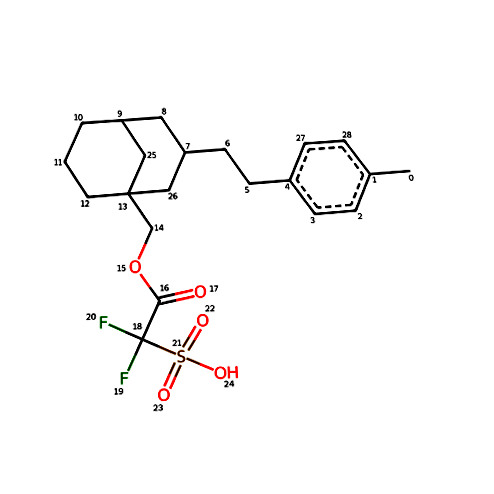 Cc1ccc(CCC2CC3CCCC(COC(=O)C(F)(F)S(=O)(=O)O)(C3)C2)cc1